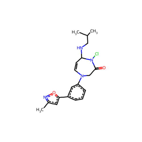 Cc1cc(-c2cccc(N3C=CC(NCC(C)C)N(Cl)C(=O)C3)c2)on1